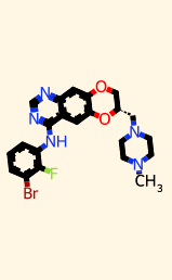 CN1CCN(C[C@H]2COc3cc4ncnc(Nc5cccc(Br)c5F)c4cc3O2)CC1